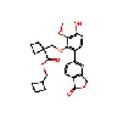 COc1c(O)ccc(-c2ccc3c(c2)COC3=O)c1OCC1(C(=O)OCC2CCC2)CCC1